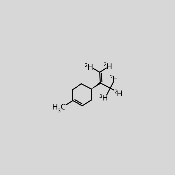 [2H]C([2H])=C([C@H]1CC=C(C)CC1)C([2H])([2H])[2H]